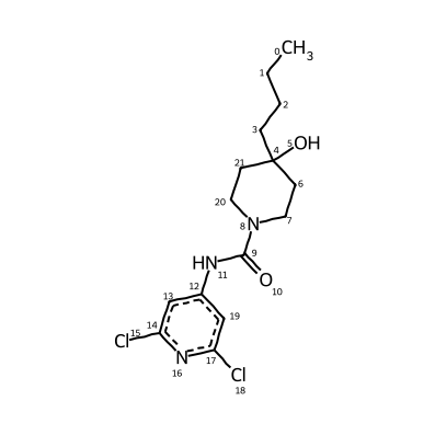 CCCCC1(O)CCN(C(=O)Nc2cc(Cl)nc(Cl)c2)CC1